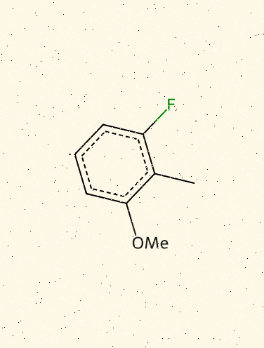 COc1c[c]cc(F)c1C